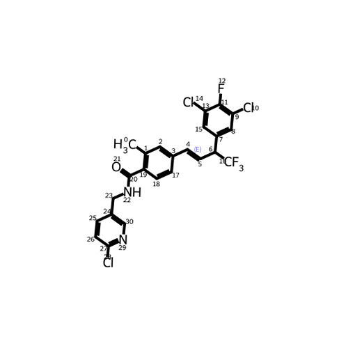 Cc1cc(/C=C/C(c2cc(Cl)c(F)c(Cl)c2)C(F)(F)F)ccc1C(=O)NCc1ccc(Cl)nc1